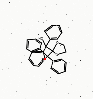 OC(c1ccccc1)(c1ccccc1)C1(C(O)(c2ccccc2)c2ccccc2)OCCO1